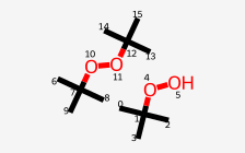 CC(C)(C)OO.CC(C)(C)OOC(C)(C)C